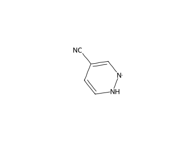 N#CC1=C[N]NC=C1